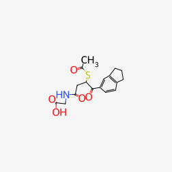 CC(=O)SC(CC(=O)NCC(=O)O)C(=O)c1ccc2c(c1)CCC2